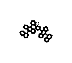 c1ccc2c(-c3c4ccccc4c(-c4ccc5c(c4)oc4cccc(-c6c7ccccc7c(-c7cccc8ccccc78)c7ccccc67)c45)c4ccccc34)cccc2c1